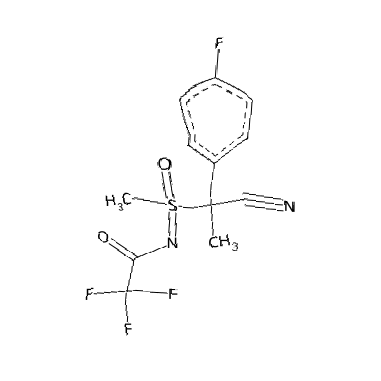 CC(C#N)(c1ccc(F)cc1)S(C)(=O)=NC(=O)C(F)(F)F